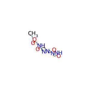 CCCCOC(=O)CCNC(=O)c1ccc(N2CC(N3CCC(=O)NC3=O)C2)nc1